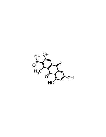 Cc1c(C(=O)O)c(O)cc2c1C(=O)c1c(O)cc(O)cc1C2=O